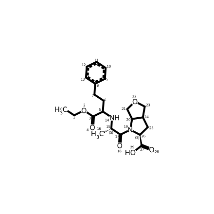 CCOC(=O)C(CCc1ccccc1)N[C@@H](C)C(=O)N1C2COCC2C[C@H]1C(=O)O